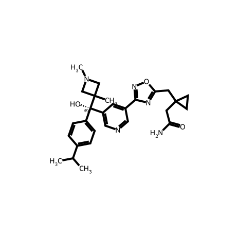 CC(C)c1ccc([C@](O)(c2cncc(-c3noc(CC4(CC(N)=O)CC4)n3)c2)C2(C)CN(C)C2)cc1